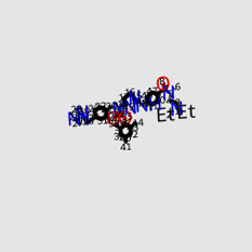 CCN(CC)CCN(C)C(=O)c1ccc(Nc2nccc(N(Cc3ccc(Cn4cncn4)cc3)C(=O)Oc3c(C)cc(C)cc3C)n2)cc1